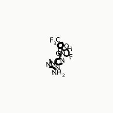 Cc1ncc2c(N)nc3cnc(C(=O)N4C[C@H](F)C[C@@H]5Oc6cc(C(F)(F)F)ccc6[C@@H]54)cc3n12